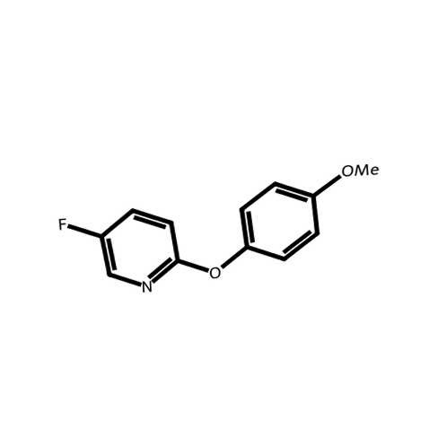 COc1ccc(Oc2ccc(F)cn2)cc1